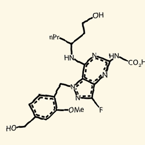 CCCC(CCO)Nc1nc(NC(=O)O)nc2c(F)nn(Cc3ccc(CO)cc3OC)c12